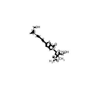 C[C@@](CCN1Cc2cc(C#CC#C[C@H]3C[C@@H]3CO)sc2C1=O)(C(=O)NO)S(C)(=O)=O